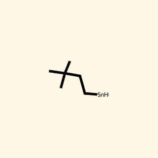 CC(C)(C)C[CH2][SnH]